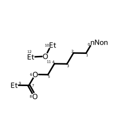 CCCCCCCCCCCCCCOC(=O)CC.CCOCC